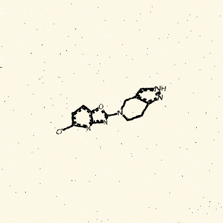 Clc1ccc2oc(N3CCc4n[nH]cc4C3)nc2n1